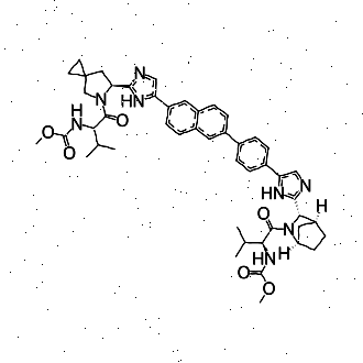 COC(=O)NC(C(=O)N1CC2(CC2)C[C@H]1c1ncc(-c2ccc3cc(-c4ccc(-c5cnc([C@@H]6[C@H]7CC[C@H](C7)N6C(=O)[C@@H](NC(=O)OC)C(C)C)[nH]5)cc4)ccc3c2)[nH]1)C(C)C